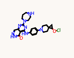 O=c1[nH]ncc2nc(N3CCCNCC3)nc(Nc3ccc(N4CCC5(CC4)CC5OCl)cc3)c12